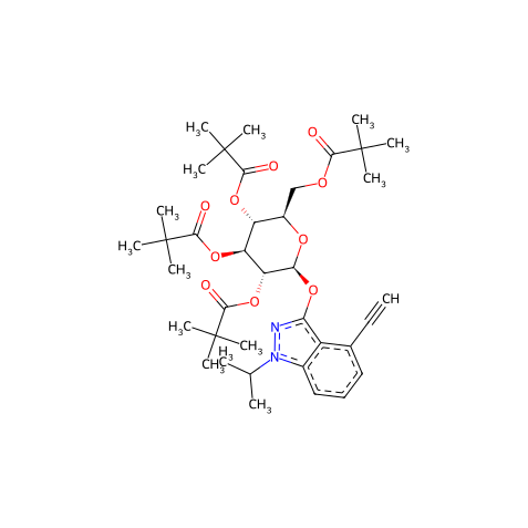 C#Cc1cccc2c1c(O[C@@H]1O[C@H](COC(=O)C(C)(C)C)[C@@H](OC(=O)C(C)(C)C)[C@H](OC(=O)C(C)(C)C)[C@H]1OC(=O)C(C)(C)C)nn2C(C)C